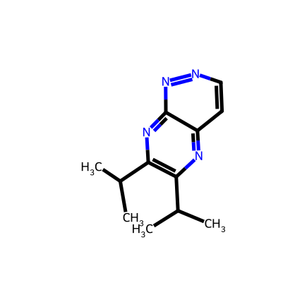 CC(C)c1nc2ccnnc2nc1C(C)C